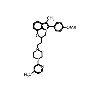 COc1ccc(-c2c(C)c3cccc4c3n2CC(CCN2CCN(c3cc(C)ccn3)CC2)O4)cc1